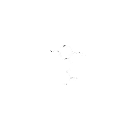 CCC(=O)COc1cc([N+](=O)[O-])ccc1N